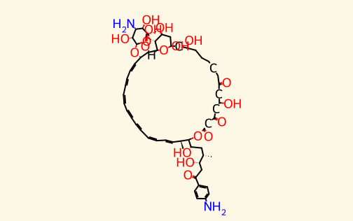 C[C@@H]1O[C@@H](O[C@H]2\C=C/C=C\C=C/C=C\C=C/C=C\C=C/[C@H](C)C([C@@H](O)C[C@H](C)[C@@H](O)CC(=O)c3ccc(N)cc3)OC(=O)CC(=O)CC(O)CC(=O)CCCCC[C@@H](O)C[C@]3(O)C[C@H](O)[C@@H](C(=O)O)[C@H](C2)O3)[C@H](O)[C@H](N)[C@H]1O